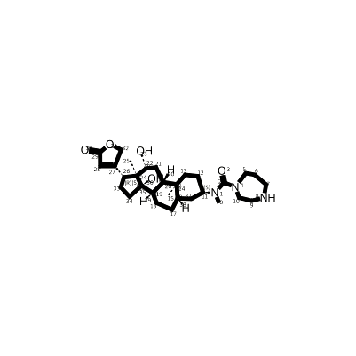 CN(C(=O)N1CCCNCC1)[C@H]1CC[C@@]2(C)[C@H](CC[C@@H]3[C@@H]2C[C@@H](O)[C@]2(C)[C@@H](C4=CC(=O)OC4)CC[C@]32O)C1